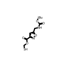 CC(C)(C)OC(=O)NCc1cc(C(=O)OCS)no1